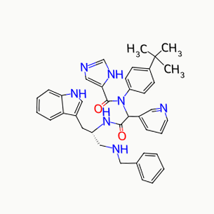 CC(C)(C)c1ccc(N(C(=O)c2cnc[nH]2)C(C(=O)N[C@H](CNCc2ccccc2)Cc2c[nH]c3ccccc23)c2cccnc2)cc1